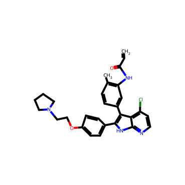 C=CC(=O)Nc1cc(-c2c(-c3ccc(OCCN4CCCC4)cc3)[nH]c3nccc(Cl)c23)ccc1C